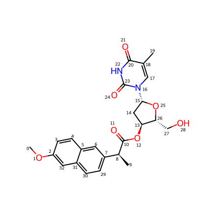 COc1ccc2cc([C@H](C)C(=O)O[C@H]3C[C@H](n4cc(C)c(=O)[nH]c4=O)O[C@@H]3CO)ccc2c1